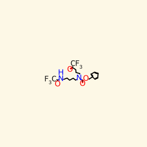 O=C(OCc1ccccc1)N(CCCCCNC(=O)C(F)(F)F)CCCC(=O)C(F)(F)F